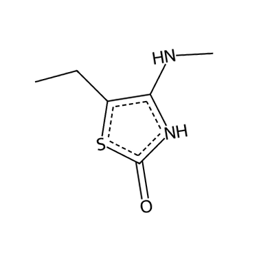 CCc1sc(=O)[nH]c1NC